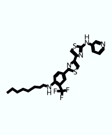 CCCCCCCCNc1ccc(-c2nc(-c3csc(Nc4cccnc4)n3)cs2)cc1C(F)(F)F